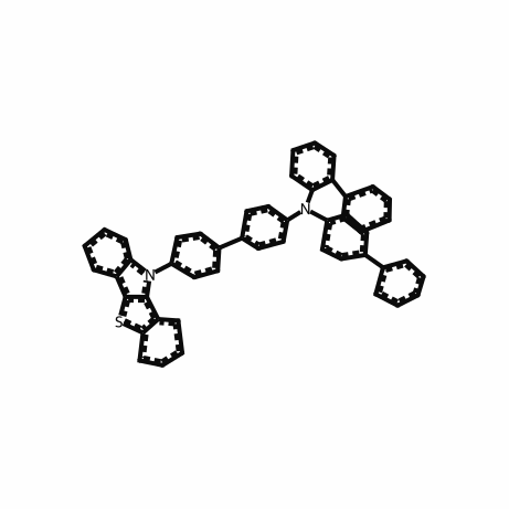 c1ccc(-c2ccc(N(c3ccc(-c4ccc(-n5c6ccccc6c6sc7ccccc7c65)cc4)cc3)c3ccccc3-c3ccccc3)cc2)cc1